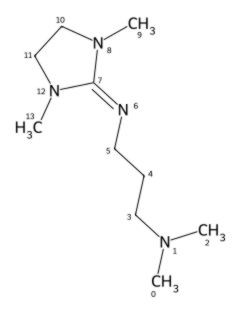 CN(C)CCCN=C1N(C)CCN1C